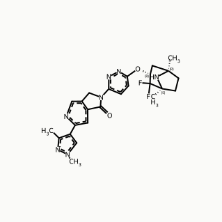 Cc1nn(C)cc1-c1cc2c(cn1)CN(c1ccc(O[C@@H]3C[C@@]4(C)CC[C@](C)(N4)C3(F)F)nn1)C2=O